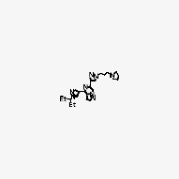 CCC(CC)n1cc(-c2nc(-c3cnn(CCCN4CCCC4)c3)cn3nccc23)cn1